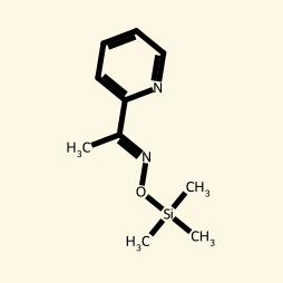 CC(=NO[Si](C)(C)C)c1ccccn1